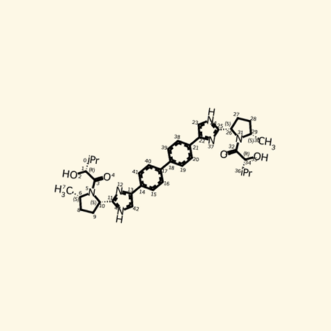 CC(C)[C@@H](O)C(=O)N1[C@@H](C)CC[C@H]1c1nc(-c2ccc(-c3ccc(-c4c[nH]c([C@@H]5CC[C@H](C)N5C(=O)[C@H](O)C(C)C)n4)cc3)cc2)c[nH]1